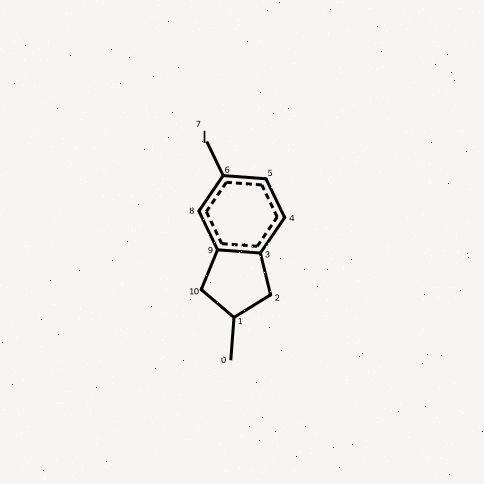 CC1Cc2ccc(I)cc2C1